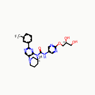 O=C(Nc1cnc(OC[C@@H](O)CO)nc1)N1c2nc(-c3cccc(C(F)(F)F)c3)ncc2N2CCC[C@H]1C2